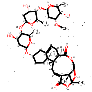 CO[C@@H]1C[C@@H](O[C@H]2[C@@H](O)C[C@H](O[C@H]3[C@H](O)C[C@H](O[C@H]4CC[C@@]5(C)C(=CC[C@H]6C(=O)OC7C[C@H]8/C(=C\C[C@@H]65)C(=O)OC8(C)O7)C4)O[C@@H]3C)O[C@@H]2C)O[C@@H](C)[C@@H]1O